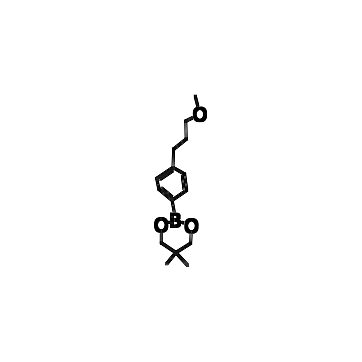 COCCCc1ccc(B2OCC(C)(C)CO2)cc1